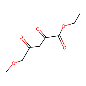 CCOC(=O)C(=O)CC(=O)COC